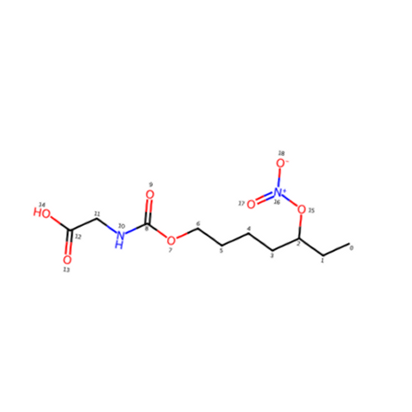 CCC(CCCCOC(=O)NCC(=O)O)O[N+](=O)[O-]